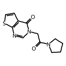 O=C(Cn1cnc2sccc2c1=O)N1CCCC1